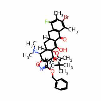 Cc1c(F)c2c(c(C)c1Br)C(=O)C1=C(O)[C@]3(O[Si](C)(C)C(C)(C)C)C(=O)c4c(OCc5ccccc5)noc4[C@@H](N(C)C)[C@@H]3C[C@@H]1C2